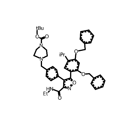 CCNC(=O)c1noc(-c2cc(C(C)C)c(OCc3ccccc3)cc2OCc2ccccc2)c1-c1ccc(CN2CCN(C(=O)OC(C)(C)C)CC2)cc1